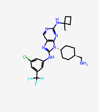 CC1(Nc2ncc3nc(Nc4cc(Cl)cc(C(F)(F)F)c4)n([C@H]4CC[C@H](CN)CC4)c3n2)CCC1